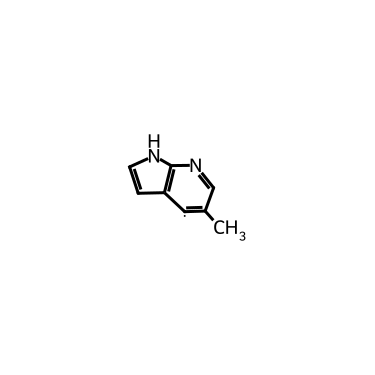 Cc1[c]c2cc[nH]c2nc1